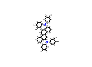 Cc1ccc(N(c2ccc(C)c(C)c2)c2cc3c4cccc(N(c5ccc(C)c(C)c5)c5ccc(C)c(C)c5)c4ccc3c3ccccc23)cc1C